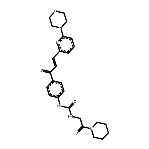 O=C(NCC(=O)N1CCCCC1)Nc1ccc(C(=O)/C=C/c2cccc(N3CCOCC3)n2)cc1